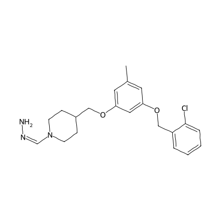 Cc1cc(OCc2ccccc2Cl)cc(OCC2CCN(/C=N\N)CC2)c1